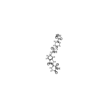 CC(C)(C)OC(=O)N1CCN(CC(=O)NCc2ccc3c(c2)CN(C2CCC(=O)NC2=O)C3=O)CC1